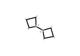 [CH]1CCN1N1CCC1